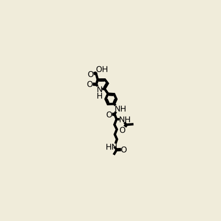 CC(=O)NCCCCC(NC(C)=O)C(=O)Nc1ccc(-c2ccc(C(=O)O)c(=O)[nH]2)cc1